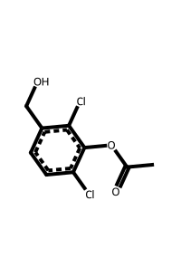 CC(=O)Oc1c(Cl)ccc(CO)c1Cl